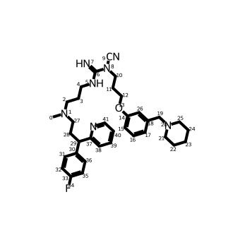 CN(CCCNC(=N)N(C#N)CCCOc1cccc(CN2CCCCC2)c1)CCC(c1ccc(F)cc1)c1ccccn1